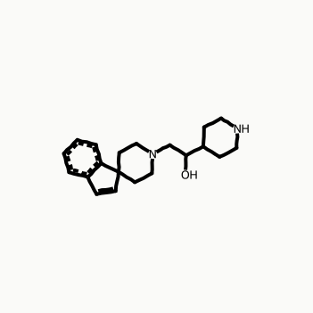 OC(CN1CCC2(C=Cc3ccccc32)CC1)C1CCNCC1